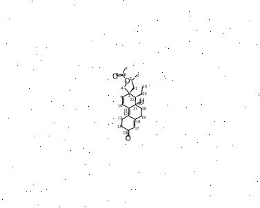 CCC[C@]1(COC(C)=O)C=CC2=C3CCC(=O)C=C3CC[C@H]2[C@@H]1CC